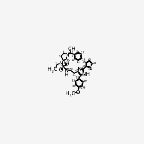 CCN([C@@H]1CCN([C@@H](C)c2ccccc2)C1)S(=O)(=O)NCCc1nc(-c2cccs2)[nH]c1-c1ccc(OC)cc1